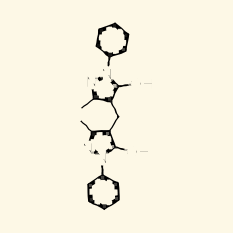 Cc1nn(-c2ccccc2)c(O)c1Cc1c(C)nn(-c2ccccc2)c1O